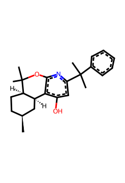 C[C@H]1CC[C@@H]2[C@H](C1)c1c(O)cc(C(C)(C)c3ccccc3)nc1OC2(C)C